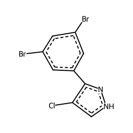 Clc1c[nH]nc1-c1cc(Br)cc(Br)c1